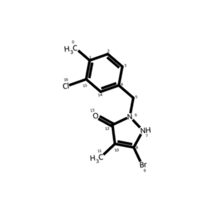 Cc1ccc(Cn2[nH]c(Br)c(C)c2=O)cc1Cl